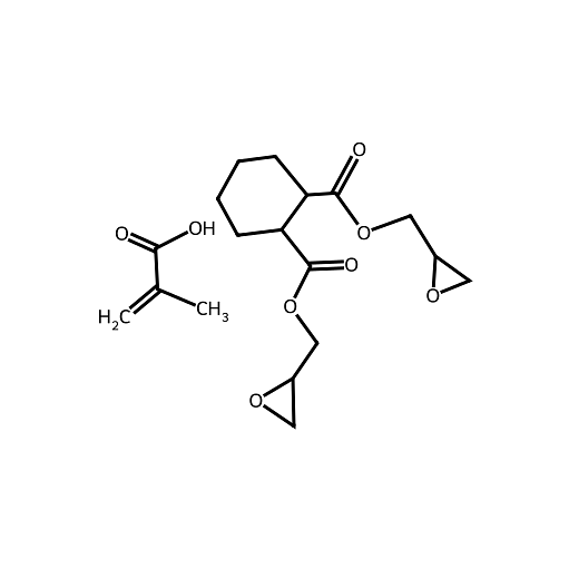 C=C(C)C(=O)O.O=C(OCC1CO1)C1CCCCC1C(=O)OCC1CO1